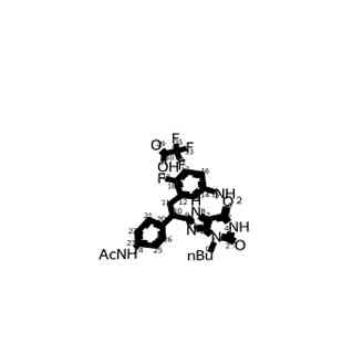 CCCCn1c(=O)[nH]c(=O)c2[nH]c(C(Cc3cc(N)ccc3F)c3ccc(NC(C)=O)cc3)nc21.O=C(O)C(F)(F)F